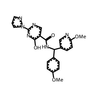 COc1ccc(C(NC(=O)c2cnc(-n3cccn3)nc2O)c2ccc(OC)nc2)cc1